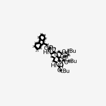 CC(C)(C)OC(=O)NCCCC[C@H](NC(=O)OCC1c2ccccc2-c2ccccc21)C(=O)N(CCO[Si](C)(C)C(C)(C)C)CC(O)CNC(=O)OC(C)(C)C